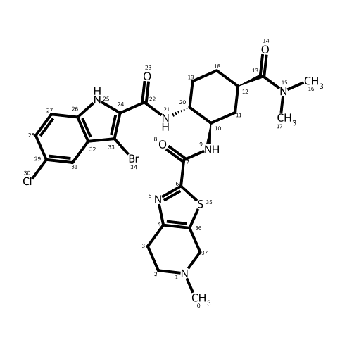 CN1CCc2nc(C(=O)N[C@@H]3C[C@H](C(=O)N(C)C)CC[C@H]3NC(=O)c3[nH]c4ccc(Cl)cc4c3Br)sc2C1